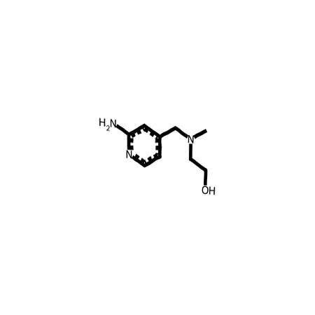 CN(CCO)Cc1ccnc(N)c1